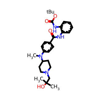 CN(c1ccc(C(=O)Nc2ccccc2NC(=O)OC(C)(C)C)cc1)C1CCN(CC(C)(C)O)CC1